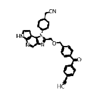 C#Cc1ccc(C(=O)c2ccc(COCc3nc4cnc5[nH]ccc5c4n3[C@H]3CC[C@H](CC#N)CC3)cc2)cc1